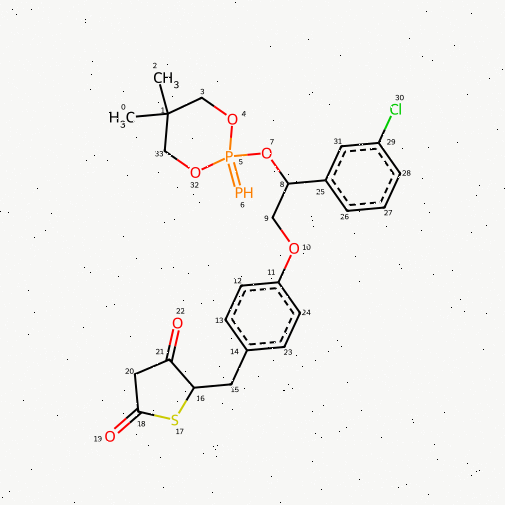 CC1(C)COP(=P)(OC(COc2ccc(CC3SC(=O)CC3=O)cc2)c2cccc(Cl)c2)OC1